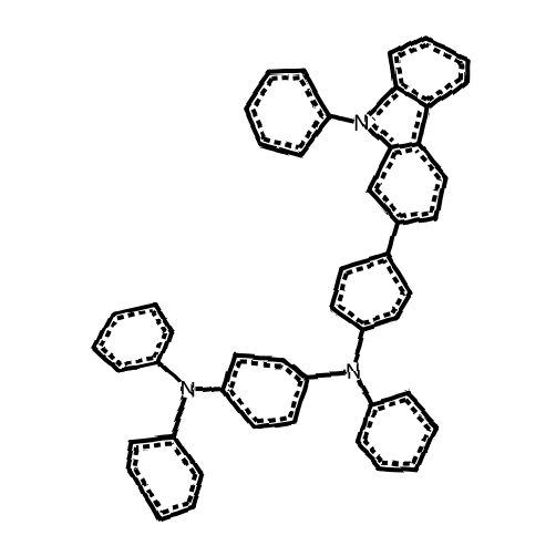 c1ccc(N(c2ccccc2)c2ccc(N(c3ccccc3)c3ccc(-c4ccc5c6ccccc6n(-c6ccccc6)c5c4)cc3)cc2)cc1